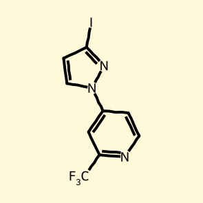 FC(F)(F)c1cc(-n2ccc(I)n2)ccn1